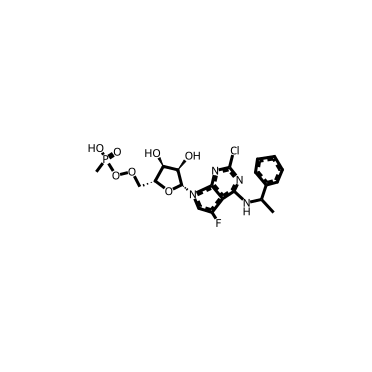 CC(Nc1nc(Cl)nc2c1c(F)cn2[C@@H]1O[C@H](COOP(C)(=O)O)[C@@H](O)[C@H]1O)c1ccccc1